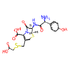 NC(C(=O)N[C@@H]1C(=O)N2C(C(=O)O)=C(CSCC(=O)O)CS[C@@H]12)c1ccc(O)cc1